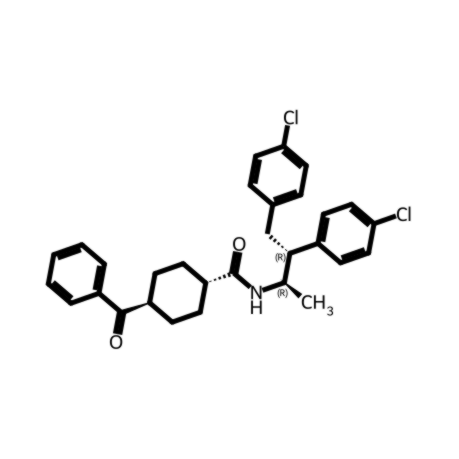 C[C@@H](NC(=O)[C@H]1CC[C@H](C(=O)c2ccccc2)CC1)[C@H](Cc1ccc(Cl)cc1)c1ccc(Cl)cc1